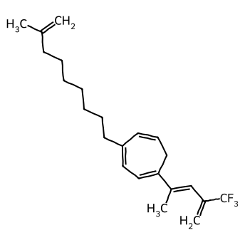 C=C(C)CCCCCCCC1=CC=C(/C(C)=C/C(=C)C(F)(F)F)CC=C1